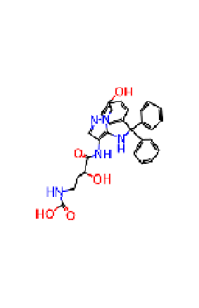 O=C(O)NCC[C@H](O)C(=O)Nc1cnn(CCO)c1NC(c1ccccc1)(c1ccccc1)c1ccccc1